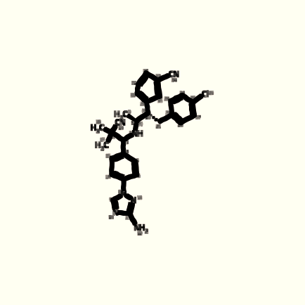 C[C@H](NC(c1ccc(-n2cnc(N)n2)cc1)C(C)(C)C#N)[C@@H](Cc1ccc(Cl)cc1)c1cccc(C#N)c1